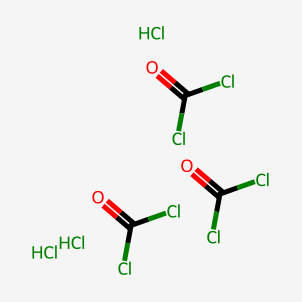 Cl.Cl.Cl.O=C(Cl)Cl.O=C(Cl)Cl.O=C(Cl)Cl